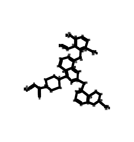 C=CC(=O)N1CCN(c2nc(Oc3cccc4c3CCN(C)C4)nc3c(Oc4c(C)ccc(N)c4C=N)nccc23)CC1